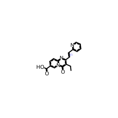 CCc1c(/C=C/c2ccccn2)nc2ccc(C(=O)O)cn2c1=O